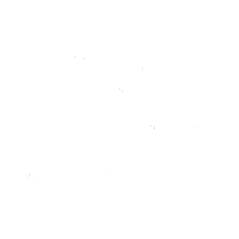 CCOC(=O)c1cn(-c2ccc(OCOCCOC)cc2)c2cc(N3CCC(NC(C)=O)C3)c(F)c(F)c2c1=O